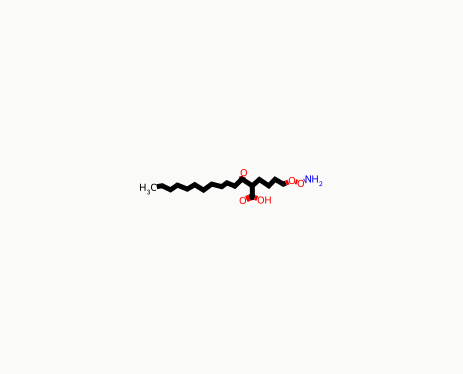 CCCCCCCCCCCC(=O)C(CCCCOON)C(=O)O